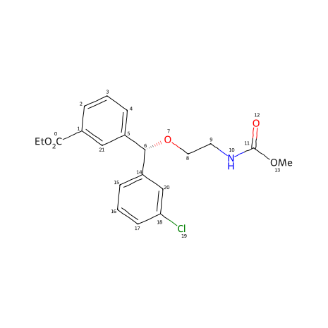 CCOC(=O)c1cccc([C@H](OCCNC(=O)OC)c2cccc(Cl)c2)c1